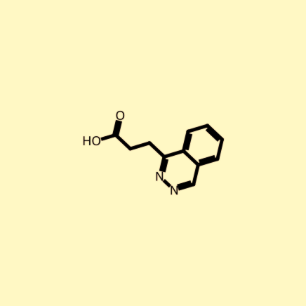 O=C(O)CCc1nncc2ccccc12